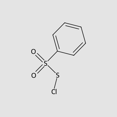 O=S(=O)(SCl)c1ccccc1